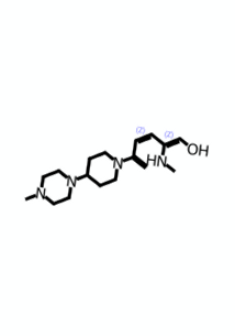 C=C(/C=C\C(=C\O)NC)N1CCC(N2CCN(C)CC2)CC1